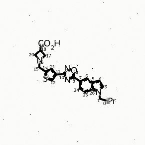 CC(C)Cn1ccc2cc(-c3nc(-c4csc(CN5CC(C(=O)O)C5)c4)no3)ccc21